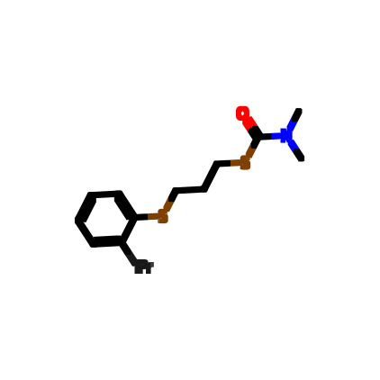 CC(C)c1ccccc1SCCCSC(=O)N(C)C